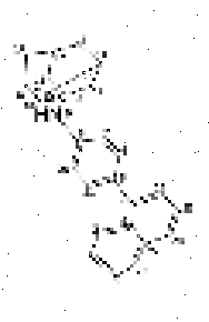 c1ccc2c(-c3ccc(NC45CC6CC(CC(C6)C4)C5)cc3)cccc2c1